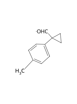 Cc1ccc(C2([C]=O)CC2)cc1